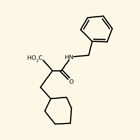 O=C(O)C(CC1CCCCC1)C(=O)NCc1ccccc1